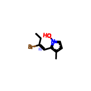 CC/C(Br)=C\c1c(C)ccn1O